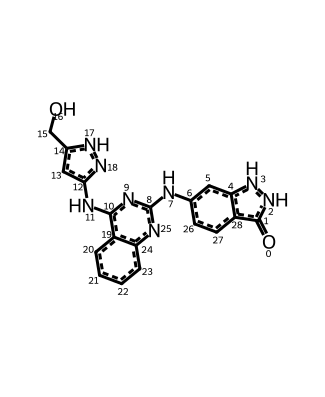 O=c1[nH][nH]c2cc(Nc3nc(Nc4cc(CO)[nH]n4)c4ccccc4n3)ccc12